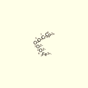 [Co+2].[Cr+3].[Fe+3].[O-2].[O-2].[O-2].[O-2]